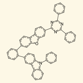 c1ccc(-c2nc(-c3ccccc3)nc(-c3ccc4c(c3)oc3cc(-c5ccccc5-c5ccc6c(c5)c5ccccc5n6-c5ccccc5)ccc34)n2)cc1